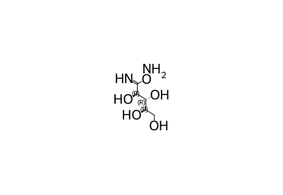 N=C(ON)[C@H](O)[C@H](O)[C@H](O)CO